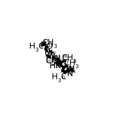 Cc1cc(-c2[nH]c3sc(N4CCN(CC(=O)N(C)C)C[C@H]4C)nc3c2C(C)C)cn2ncnc12